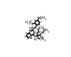 CCCCC(CC)(Nc1nc(NCc2ccc(CC)cc2CC)nc2cccnc12)C(=O)OCC